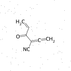 C=C=C(C#N)C(=O)C=C